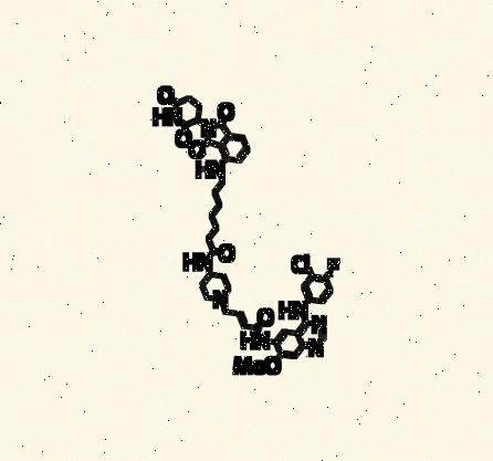 COc1cc2ncnc(Nc3ccc(F)c(Cl)c3)c2cc1NC(=O)C=CCN1CCC(NC(=O)CCCCCCNc2cccc3c2C(=O)N(C2CCC(=O)NC2=O)C3=O)CC1